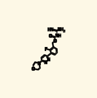 N=C(N)NC(=O)OCc1cccc(-c2ccc(N3CCOCC3)nn2)c1F